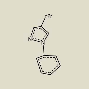 CCCc1cnn(-c2ccccc2)c1